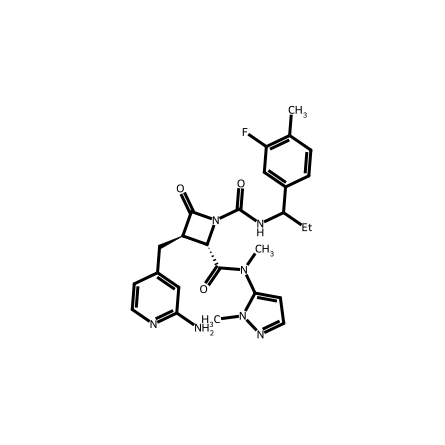 CCC(NC(=O)N1C(=O)[C@H](Cc2ccnc(N)c2)[C@H]1C(=O)N(C)c1ccnn1C)c1ccc(C)c(F)c1